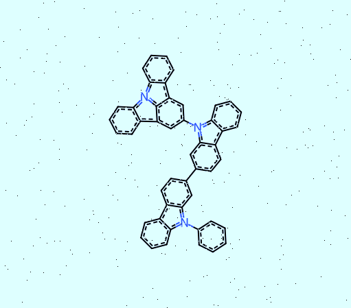 c1ccc(-n2c3ccccc3c3ccc(-c4ccc5c6ccccc6n(-c6cc7c8ccccc8n8c9ccccc9c(c6)c78)c5c4)cc32)cc1